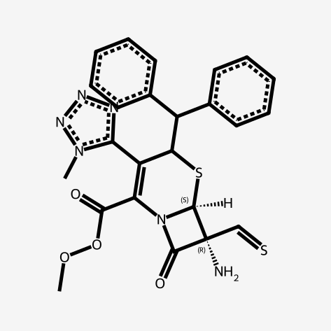 COOC(=O)C1=C(c2nnnn2C)C(C(c2ccccc2)c2ccccc2)S[C@@H]2N1C(=O)[C@]2(N)C=S